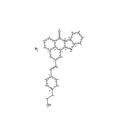 O=c1c2cccc3cc(/N=C/c4cc[n+](CCO)cc4)cc(c32)c2nc3ccccc3n12.[Br-]